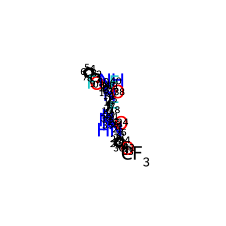 O=C(Cc1ccccc1F)Nc1ccn(CCC(F)Cn2cc(C(=O)NCc3cccc(OC(F)(F)F)c3)nn2)c(=O)c1F